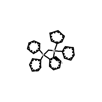 C=C[Si](C[Si](c1ccccc1)(c1ccccc1)c1ccccc1)(c1ccccc1)c1ccccc1